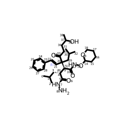 CC(C)C[C@@H](C(=O)NN)[C@H](C(=O)NOC1CCCCO1)C(/C=C/c1ccccc1)(CC(C)C)C(=O)CCC(C)O